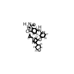 NS(=O)(=O)c1cc(Nc2cc(Oc3cn(C4CC4)nc3C3CCOCC3)ccn2)ccc1Cl